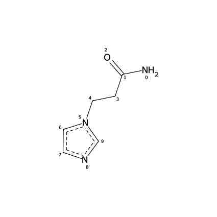 NC(=O)CCn1ccnc1